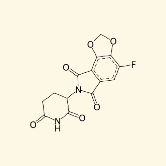 O=C1CCC(N2C(=O)c3cc(F)c4c(c3C2=O)OCO4)C(=O)N1